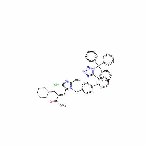 CCCCc1nc(Cl)c(C=C(CC2CCCCC2)C(=O)OC)n1Cc1ccc(-c2ccccc2-c2nnnn2C(c2ccccc2)(c2ccccc2)c2ccccc2)cc1